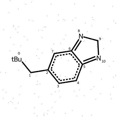 CC(C)(C)Cc1ccc2c(c1)=NCN=2